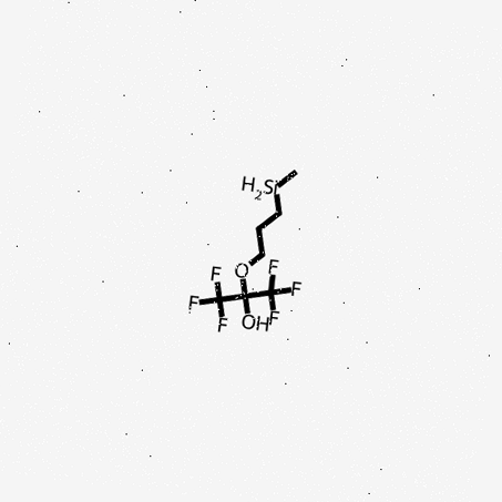 C[SiH2]CCCOC(O)(C(F)(F)F)C(F)(F)F